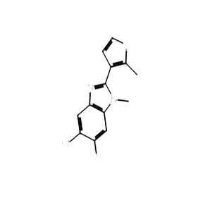 Cc1sccc1-c1nc2cc(Cl)c(Cl)cc2n1C